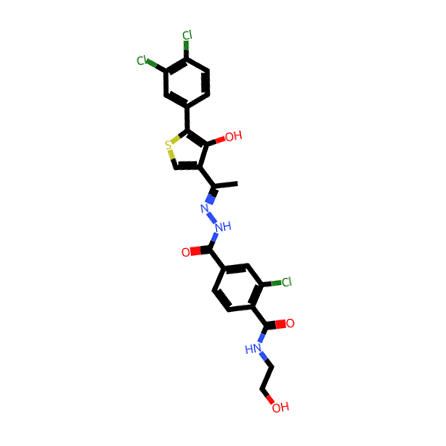 C/C(=N\NC(=O)c1ccc(C(=O)NCCO)c(Cl)c1)c1csc(-c2ccc(Cl)c(Cl)c2)c1O